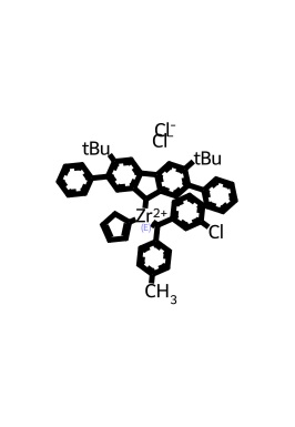 Cc1ccc(/[C](c2cccc(Cl)c2)=[Zr+2](\[C]2=CC=CC2)[CH]2c3cc(-c4ccccc4)c(C(C)(C)C)cc3-c3cc(C(C)(C)C)c(-c4ccccc4)cc32)cc1.[Cl-].[Cl-]